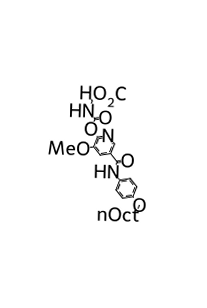 CCCCCCCCOc1ccc(NC(=O)c2cnc(OC(=O)NCC(=O)O)c(OC)c2)cc1